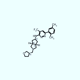 Cc1ccc(C)c(-c2cc(C(F)(F)F)c(N[C@H]3C[C@@H]4CN(C[C@H]5CCOC5)C[C@@H]4C3)nn2)c1